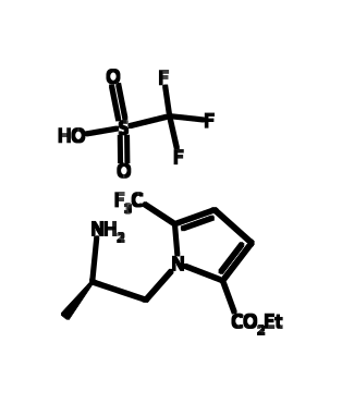 CCOC(=O)c1ccc(C(F)(F)F)n1C[C@@H](C)N.O=S(=O)(O)C(F)(F)F